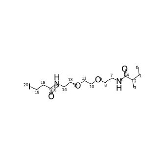 CCC(C)C(=O)NCCOCCOCCNC(=O)CCI